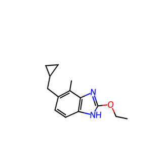 CCOc1nc2c(C)c(CC3CC3)ccc2[nH]1